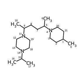 CC1CCN(C(C)CCC(C)N2CCN(C(C)C)CC2)CC1